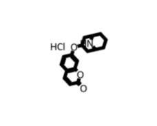 Cl.O=c1ccc2ccc(OC3CC4CCCC(C3)N4)cc2o1